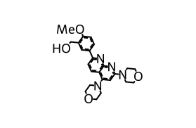 COc1ccc(-c2ccc3c(N4CCOCC4)cc(N4CCOCC4)nc3n2)cc1CO